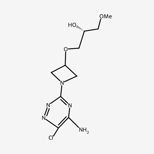 COC[C@@H](O)COC1CN(c2nnc(Cl)c(N)n2)C1